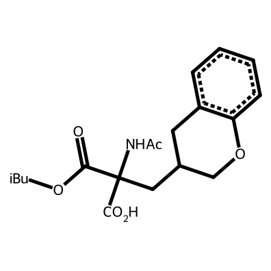 CCC(C)OC(=O)C(CC1COc2ccccc2C1)(NC(C)=O)C(=O)O